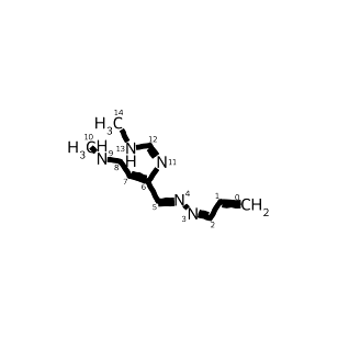 C=C\C=N/N=C/C(=C/CNC)/N=C\NC